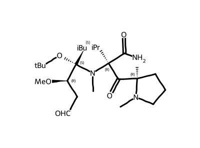 CC[C@H](C)[C@](OC(C)(C)C)([C@@H](CC=O)OC)N(C)[C@@](C(N)=O)(C(=O)[C@@]1(C)CCCN1C)C(C)C